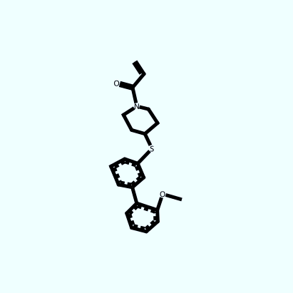 C=CC(=O)N1CCC(Sc2cccc(-c3ccccc3OC)c2)CC1